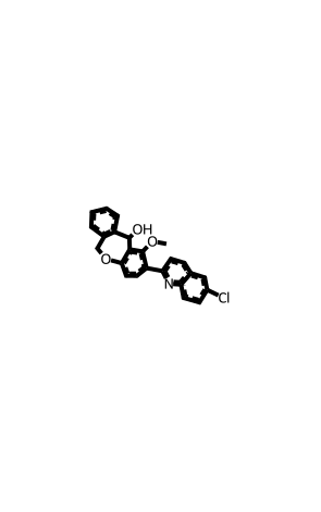 COc1c(-c2ccc3cc(Cl)ccc3n2)ccc2c1C(O)c1ccccc1CO2